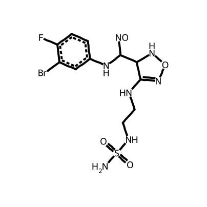 NS(=O)(=O)NCCNC1=NONC1C(N=O)Nc1ccc(F)c(Br)c1